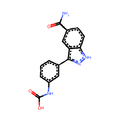 NC(=O)c1ccc2[nH]nc(-c3cccc(NC(=O)O)c3)c2c1